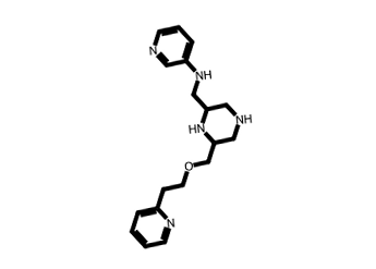 c1ccc(CCOCC2CNCC(CNc3cccnc3)N2)nc1